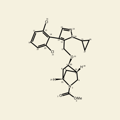 COC(=O)N1C[C@@H]2C[C@H]1C[C@H]2OCc1c(-c2c(Cl)cccc2Cl)cnn1C1CC1